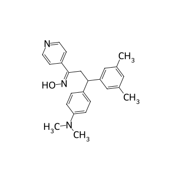 Cc1cc(C)cc(C(C/C(=N/O)c2ccncc2)c2ccc(N(C)C)cc2)c1